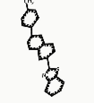 Cc1ccc(-c2ccc3cc(-c4nc5ccccc5s4)ccc3c2)cc1